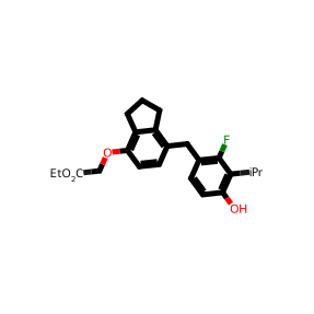 CCOC(=O)COc1ccc(Cc2ccc(O)c(C(C)C)c2F)c2c1CCC2